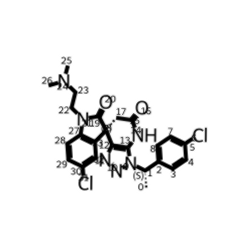 C[C@@H](c1ccc(Cl)cc1)n1nnc2c1NC(=O)C[C@]21C(=O)N(CCN(C)C)c2ccc(Cl)cc21